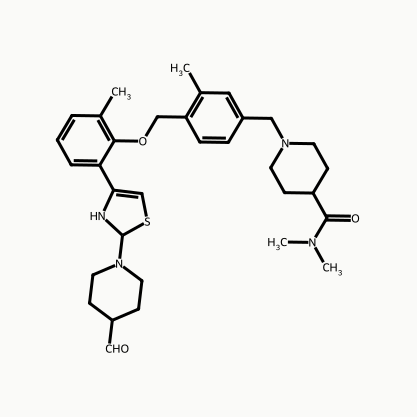 Cc1cc(CN2CCC(C(=O)N(C)C)CC2)ccc1COc1c(C)cccc1C1=CSC(N2CCC(C=O)CC2)N1